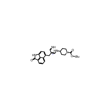 CC(C)(C)OC(=O)N1CCC(N/C=C(\C=N)Cc2ccc3c4c(cccc24)C(=O)N3)CC1